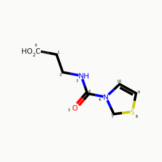 O=C(O)CCNC(=O)N1[CH]SC=C1